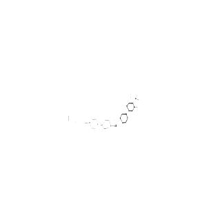 CCCC1CCC(C2CCC(C(F)(F)Oc3ccc(-c4cc(F)c(C(F)(F)Br)c(F)c4)cc3)CC2)CC1